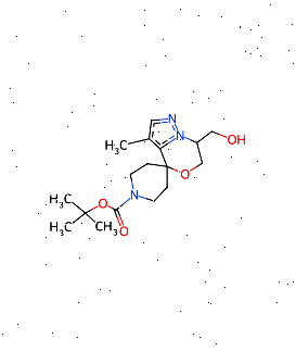 Cc1cnn2c1C1(CCN(C(=O)OC(C)(C)C)CC1)OCC2CO